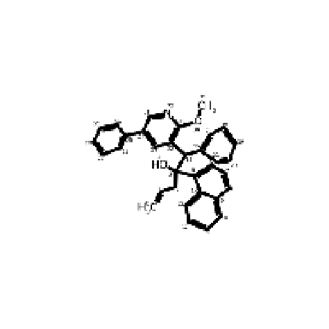 C=CCC(O)(c1cccc2ccccc12)C(c1ccccc1)c1cc(-c2ccccc2)cnc1OC